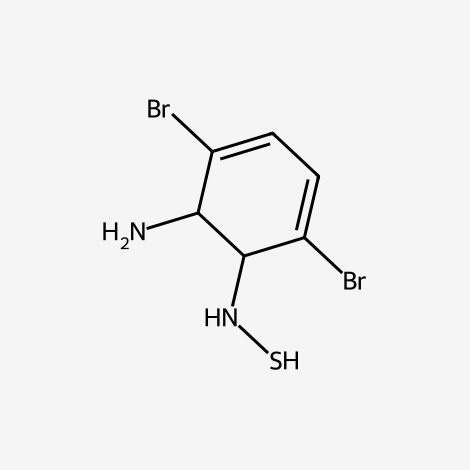 NC1C(Br)=CC=C(Br)C1NS